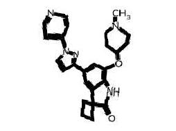 CN1CCC(Oc2cc(-c3ccn(-c4ccncc4)n3)cc3c2NC(=O)C32CCC2)CC1